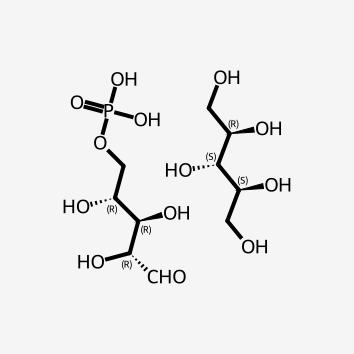 O=C[C@H](O)[C@H](O)[C@H](O)COP(=O)(O)O.OC[C@@H](O)[C@@H](O)[C@@H](O)CO